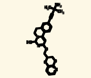 CC(C)(N)C#Cc1ccc2c(c1)CCN1C2=CC(OCC2COc3ncccc3O2)=NC1O